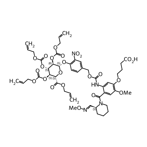 C=CCOC(=O)O[C@@H]1[C@@H](OC(=O)OCC=C)[C@H](Oc2ccc(COC(=O)Nc3cc(OCCCC(=O)O)c(OC)cc3C(=O)N3CCCC[C@H]3C=NOC)cc2[N+](=O)[O-])O[C@H](C(=O)OCC=C)[C@H]1OC(=O)OCC=C